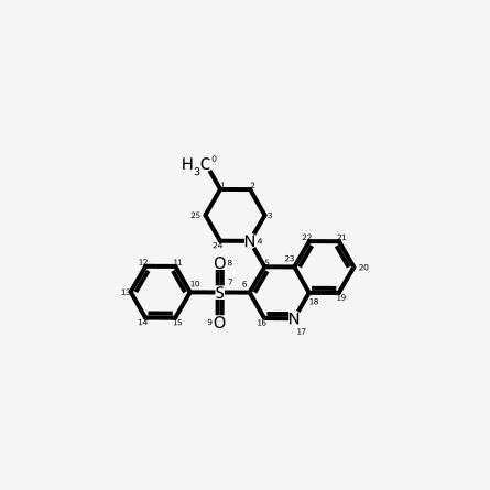 CC1CCN(c2c(S(=O)(=O)c3ccccc3)cnc3ccccc23)CC1